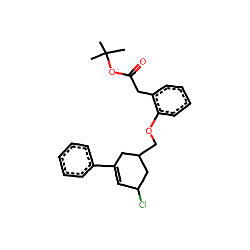 CC(C)(C)OC(=O)Cc1ccccc1OCC1CC(c2ccccc2)=CC(Cl)C1